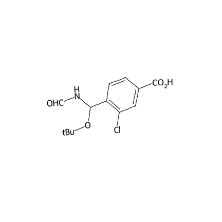 CC(C)(C)OC(NC=O)c1ccc(C(=O)O)cc1Cl